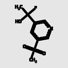 CC(O)(F)c1cncc(S(C)(=O)=O)c1